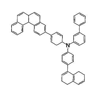 C1=CC2=C(CC1)C(c1ccc(N(c3cccc(-c4ccccc4)c3)C3C=CC(c4ccc5c(c4)C=CC4C=Cc6ccccc6C54)=CC3)cc1)=CCC2